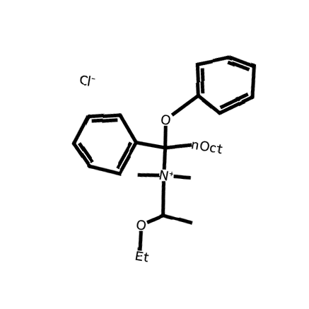 CCCCCCCCC(Oc1ccccc1)(c1ccccc1)[N+](C)(C)C(C)OCC.[Cl-]